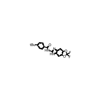 CC(C)(C)c1ccc(C(=O)Nc2nc3cc4c(cc3[nH]2)OC(F)(F)O4)cc1